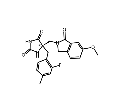 COc1ccc2c(c1)C(=O)N(C[C@@]1(Cc3ccc(C)cc3F)NC(=O)NC1=O)C2